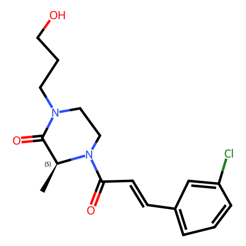 C[C@H]1C(=O)N(CCCO)CCN1C(=O)C=Cc1cccc(Cl)c1